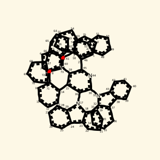 c1ccc(-c2cccc(-c3ccccc3-c3c(-n4c5ccccc5c5ccccc54)c(-n4c5ccccc5c5ccccc54)nc(-n4c5ccccc5c5ccccc54)c3-n3c4ccccc4c4ccccc43)n2)cc1